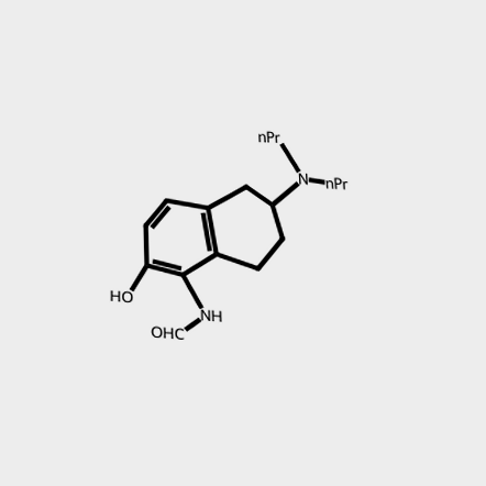 CCCN(CCC)C1CCc2c(ccc(O)c2NC=O)C1